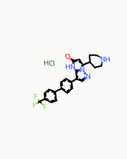 Cl.O=c1cc(C2CCNCC2)n2ncc(-c3ccc(-c4ccc(C(F)(F)F)cc4)cc3)c2[nH]1